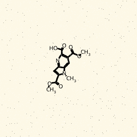 COC(=O)c1cc2c(cc(C(=O)OC)n2C)nc1C(=O)O